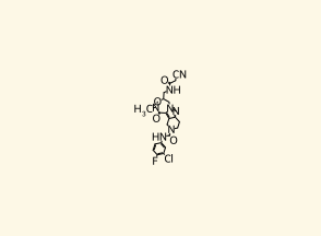 CN1OC(CNC(=O)CC#N)Cn2nc3c(c2C1=O)CN(C(=O)Nc1ccc(F)c(Cl)c1)CC3